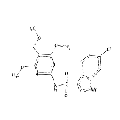 COCc1c(OC)nc(NS(=O)(=O)c2c[nH]c3cc(Cl)ccc23)nc1OC